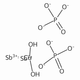 O=P([O-])([O-])[O-].O=P([O-])([O-])[O-].[OH][Cu][OH].[Sb+3].[Sb+3]